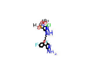 CC(C)(C)OC(=O)N=S(C)(=O)Cc1cc(Cl)nc(NCCCCCOc2cc(F)ccc2-c2cc(N)ncc2F)c1